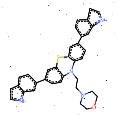 c1cc2ccc(-c3ccc4c(c3)Sc3cc(-c5ccc6cc[nH]c6c5)ccc3N4CCN3CCOCC3)cc2[nH]1